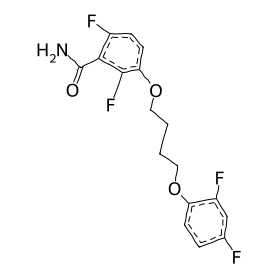 NC(=O)c1c(F)ccc(OCCCCOc2ccc(F)cc2F)c1F